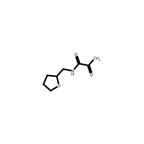 CC(=O)C(=O)NCC1CCCO1